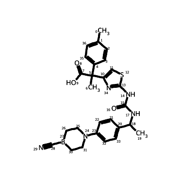 Cc1ccc(C(C)(C(=O)O)c2csc(NC(=O)NC(C)c3ccc(N4CCB(C#N)CC4)cc3)n2)cc1